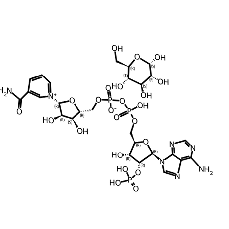 NC(=O)c1ccc[n+]([C@@H]2O[C@H](COP(=O)([O-])OP(=O)(O)OC[C@H]3O[C@@H](n4cnc5c(N)ncnc54)[C@H](OP(=O)(O)O)[C@@H]3O)[C@@H](O)[C@H]2O)c1.OC[C@H]1O[C@H](O)[C@H](O)[C@@H](O)[C@@H]1O